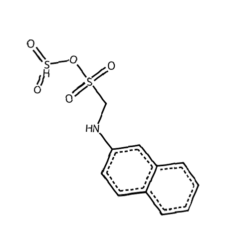 O=[SH](=O)OS(=O)(=O)CNc1ccc2ccccc2c1